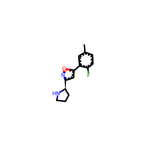 Cc1ccc(F)c(-c2cc([C@H]3CCCN3)no2)c1